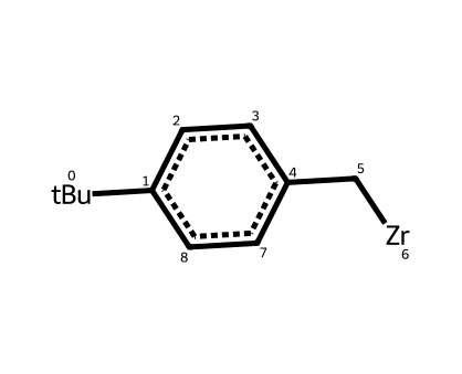 CC(C)(C)c1ccc([CH2][Zr])cc1